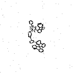 c1ccc(-c2nc(-c3cccc(-c4cccc(-c5ccc6c(c5)C5(c7ccccc7-c7ccccc75)c5ccccc5-6)c4)c3)nc(-c3cccc4oc5ccccc5c34)n2)cc1